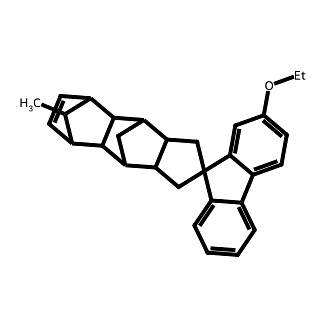 CCOc1ccc2c(c1)C1(CC3C(C1)C1CC3C3C4C=CC(C4C)C13)c1ccccc1-2